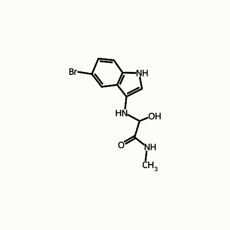 CNC(=O)C(O)Nc1c[nH]c2ccc(Br)cc12